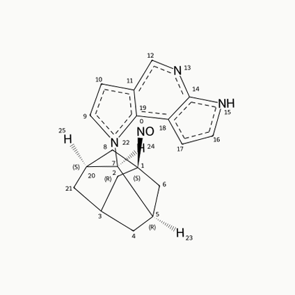 O=N[C@]12CC3C[C@H](C1)[C@H](n1ccc4cnc5[nH]ccc5c41)[C@@H](C3)C2